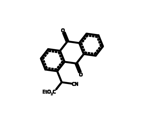 CCOC(=O)C(C#N)c1cccc2c1C(=O)c1ccccc1C2=O